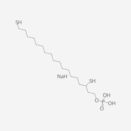 O=P(O)(O)OCCC(S)CCCCCCCCCCCCCCCS.[NaH]